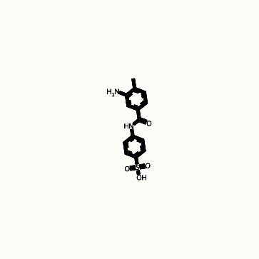 Cc1ccc(C(=O)Nc2ccc(S(=O)(=O)O)cc2)cc1N